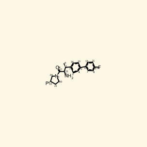 C[C@@H](c1ccc(-c2ccc(F)cc2)cc1)C(N)C(=O)N1CC[C@H](F)C1